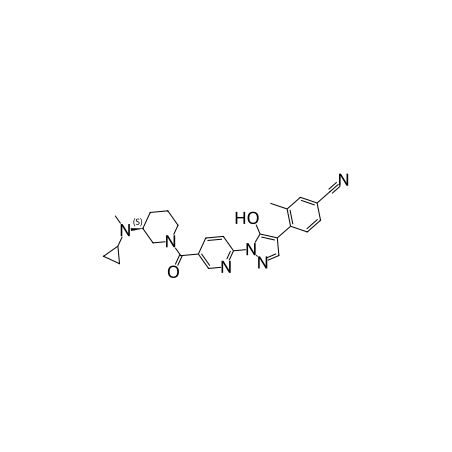 Cc1cc(C#N)ccc1-c1cnn(-c2ccc(C(=O)N3CCC[C@H](N(C)C4CC4)C3)cn2)c1O